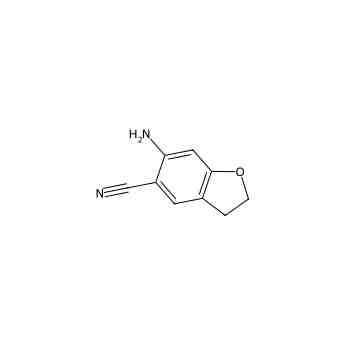 N#Cc1cc2c(cc1N)OCC2